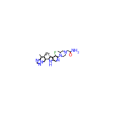 Cc1c(-c2[nH]c3cnc(N4CCN(CC(N)=O)CC4C)c(F)c3c2C(C)C)cn2ncnc2c1C